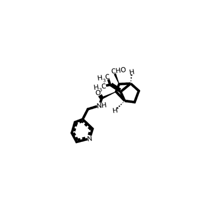 CC(C)=C1[C@H]2CC[C@@H]1[C@H](C=O)[C@@H]2C(=O)NCc1cccnc1